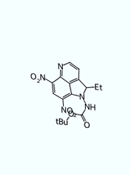 CCC1c2ccnc3c([N+](=O)[O-])cc([N+](=O)[O-])c(c23)N1NC(=O)OC(C)(C)C